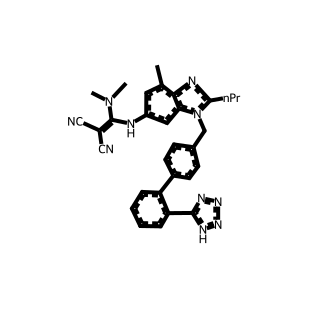 CCCc1nc2c(C)cc(NC(=C(C#N)C#N)N(C)C)cc2n1Cc1ccc(-c2ccccc2-c2nnn[nH]2)cc1